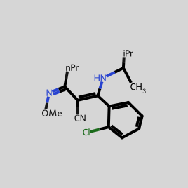 CCCC(=N/OC)/C(C#N)=C(\NC(C)C(C)C)c1ccccc1Cl